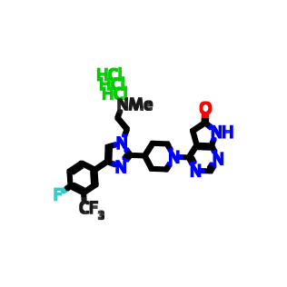 CNCCn1cc(-c2ccc(F)c(C(F)(F)F)c2)nc1C1CCN(c2ncnc3c2CC(=O)N3)CC1.Cl.Cl.Cl